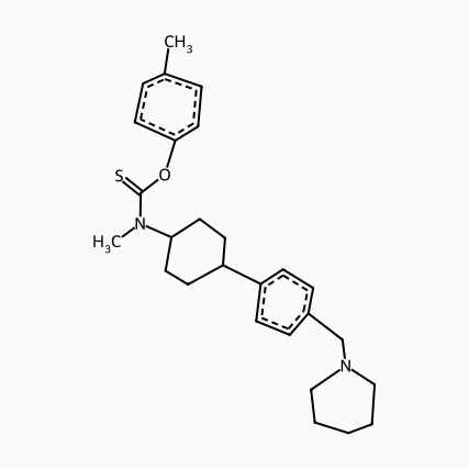 Cc1ccc(OC(=S)N(C)C2CCC(c3ccc(CN4CCCCC4)cc3)CC2)cc1